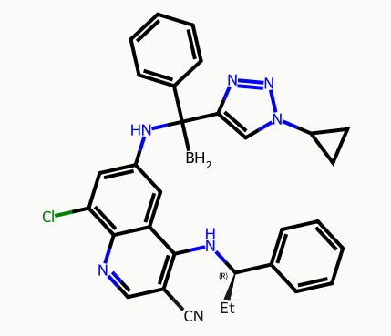 BC(Nc1cc(Cl)c2ncc(C#N)c(N[C@H](CC)c3ccccc3)c2c1)(c1ccccc1)c1cn(C2CC2)nn1